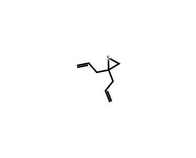 C=CCC1(CC=C)CS1